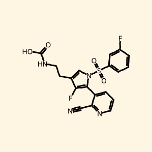 N#Cc1ncccc1-c1c(F)c(CCNC(=O)O)cn1S(=O)(=O)c1cccc(F)c1